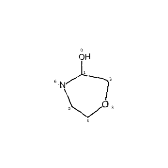 OC1COCC[N]1